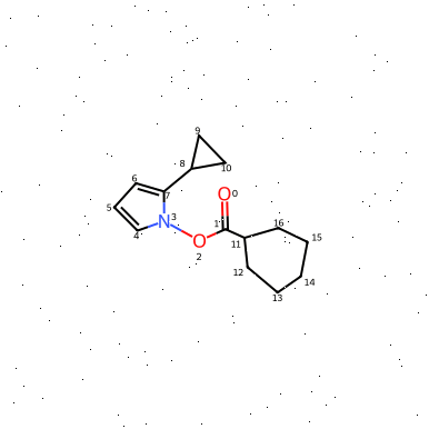 O=C(On1cccc1C1CC1)C1CCCCC1